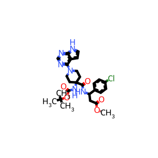 COC(=O)CC(NC(=O)C1(NC(=O)OC(C)(C)C)CCN(c2ncnc3[nH]ccc23)CC1)c1ccc(Cl)cc1